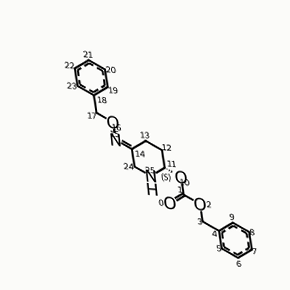 O=C(OCc1ccccc1)O[C@H]1CCC(=NOCc2ccccc2)CN1